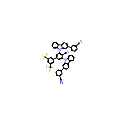 N#Cc1cccc(-c2ccc3c4ccccc4n(-c4cc(-c5cc(C(F)(F)F)cc(C(F)(F)F)c5)cc(-n5c6ccccc6c6ccc(-c7cccc(C#N)c7)cc65)c4C#N)c3c2)c1